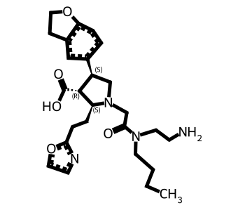 CCCCN(CCN)C(=O)CN1C[C@H](c2ccc3c(c2)CCO3)[C@@H](C(=O)O)[C@@H]1CCc1ncco1